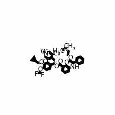 CN(C)CCOC(=O)C(Nc1cccc(C(=O)O[C@@H](Cc2c(Cl)c[n+]([O-])cc2Cl)c2ccc(OC(F)F)c(OCC3CC3)c2)c1)c1ccccc1